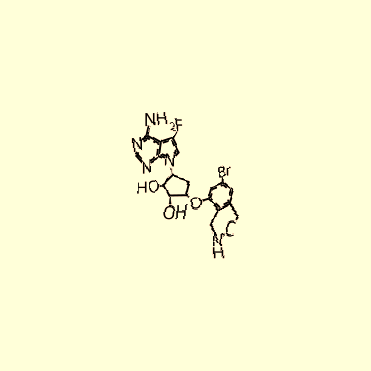 Nc1ncnc2c1c(F)cn2[C@@H]1C[C@H](Oc2cc(Br)cc3c2CNCC3)[C@@H](O)[C@H]1O